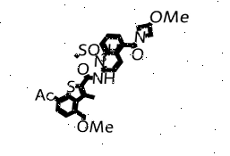 COCc1ccc(C(C)=O)c2sc(C(=O)Nc3ccc4c(C(=O)N5CC(OC)C5)cccc4n3)c(C)c12.CS(=O)(=O)O